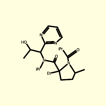 CCC1(C(=O)N(C(C)C)C(c2ncccn2)C(C)O)CCC(C)N1C(=O)C(C)C